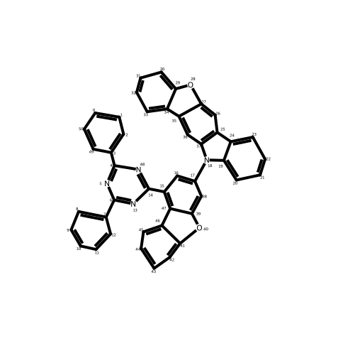 c1ccc(-c2nc(-c3ccccc3)nc(-c3cc(-n4c5ccccc5c5cc6oc7ccccc7c6cc54)cc4oc5ccccc5c34)n2)cc1